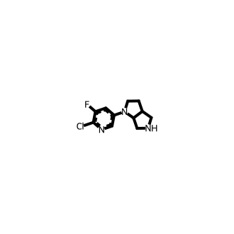 Fc1cc(N2CCC3CNCC32)cnc1Cl